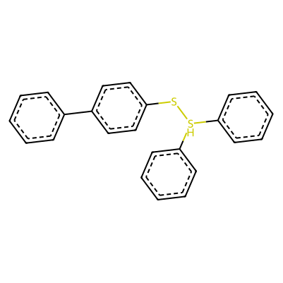 c1ccc(-c2ccc(S[SH](c3ccccc3)c3ccccc3)cc2)cc1